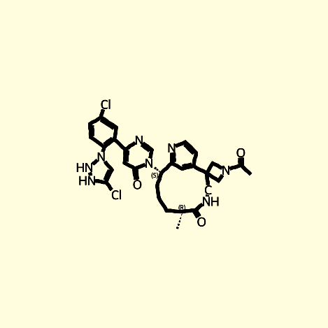 CC(=O)N1CC2(CNC(=O)[C@H](C)CCC[C@H](n3cnc(-c4cc(Cl)ccc4N4C=C(Cl)NN4)cc3=O)c3cc2ccn3)C1